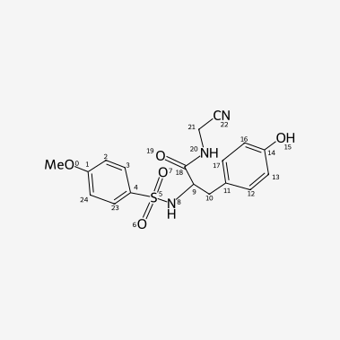 COc1ccc(S(=O)(=O)NC(Cc2ccc(O)cc2)C(=O)NCC#N)cc1